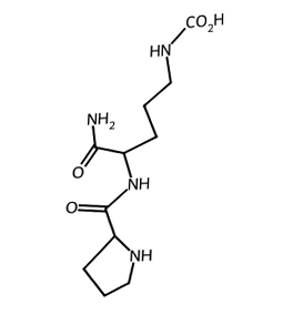 NC(=O)C(CCCNC(=O)O)NC(=O)C1CCCN1